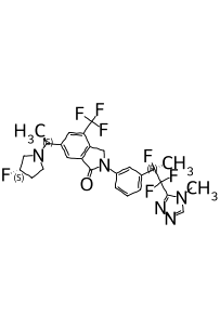 C[C@@H](c1cc2c(c(C(F)(F)F)c1)CN(c1cccc([C@@](C)(F)C(F)(F)c3nncn3C)c1)C2=O)N1CC[C@H](F)C1